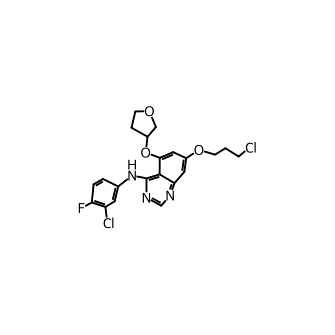 Fc1ccc(Nc2ncnc3cc(OCCCCl)cc(OC4CCOC4)c23)cc1Cl